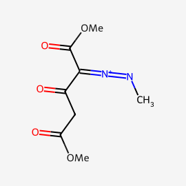 CN=[N+]=C(C(=O)CC(=O)OC)C(=O)OC